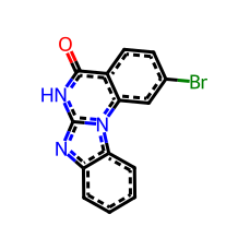 O=c1[nH]c2nc3ccccc3n2c2cc(Br)ccc12